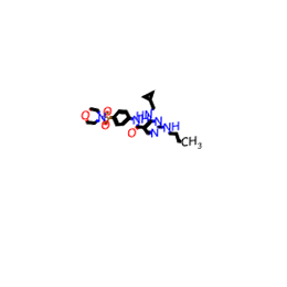 CCCCNc1ncc(C(=O)Nc2ccc(S(=O)(=O)N3CCOCC3)cc2)c(NCC2CC2)n1